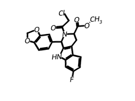 COC(=O)C1Cc2c([nH]c3cc(F)ccc23)C(c2ccc3c(c2)OCO3)N1C(=O)CCl